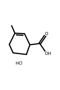 CC1=CC(C(=O)O)CCC1.Cl